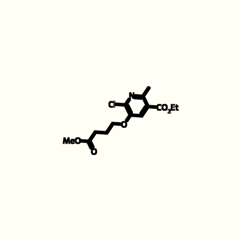 CCOC(=O)c1cc(OCCCC(=O)OC)c(Cl)nc1C